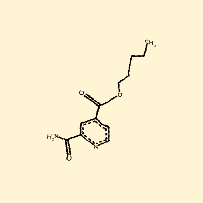 CCCCCOC(=O)c1ccnc(C(N)=O)c1